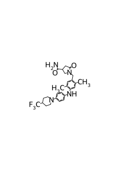 Cc1cc(Nc2ccc(N3CCC(C(F)(F)F)CC3)cc2)c(C)cc1CN1CC(C(N)=O)CC1=O